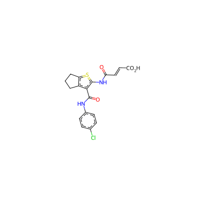 O=C(O)/C=C/C(=O)Nc1sc2c(c1C(=O)Nc1ccc(Cl)cc1)CCC2